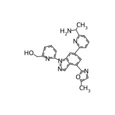 Cc1cnc(-c2cc(-c3cccc(C(C)N)n3)cc3c2cnn3-c2cccc(CO)n2)o1